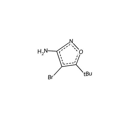 CC(C)(C)c1onc(N)c1Br